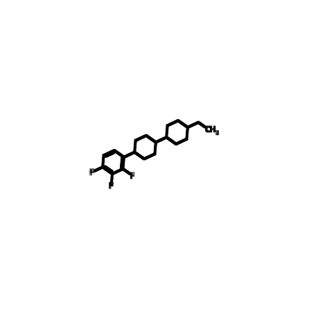 CCC1CCC(C2CCC(c3ccc(F)c(F)c3F)CC2)CC1